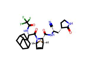 N#C[C@H](C[C@@H]1CCNC1=O)NC(=O)[C@@H]1[C@H]2C=C[C@H](S2)N1C(=O)[C@@H](NC(=O)C(F)(F)F)C12CC3CC(CC(C3)C1)C2